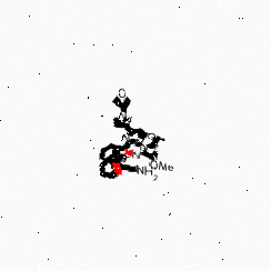 CO[C@@H]1C[C@@H]([C@H](C)Oc2cc(-c3ccn(C4COC4)n3)nc(-c3noc4c3CCC[C@@]43CCCc4sc(N)c(C#N)c43)n2)N(C)C1